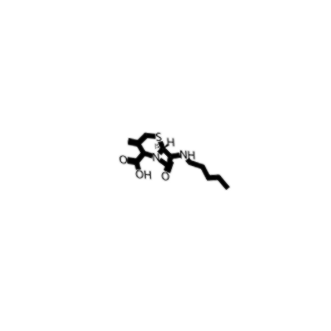 C=C1CS[C@H]2C(NCCCCC)C(=O)N2C1C(=O)O